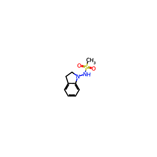 CS(=O)(=O)NN1CCc2ccccc21